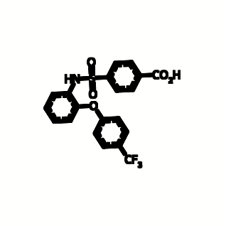 O=C(O)c1ccc(S(=O)(=O)Nc2ccccc2Oc2ccc(C(F)(F)F)cc2)cc1